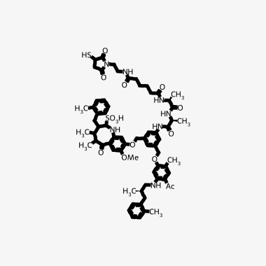 COc1cc2c(cc1OCc1cc(COc3cc(NC[C@@H](C)Cc4ccccc4C)c(C(C)=O)cc3C)cc(NC(=O)[C@H](C)NC(=O)[C@H](C)NC(=O)CCCCC(=O)NCCN3C(=O)CC(S)C3=O)c1)NC(S(=O)(=O)O)C(Cc1ccccc1C)C(C)C(C)C2=O